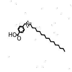 CCCCCCCCCCCCCCCC[N+](C)(C)Cc1ccc(C(=O)O)cc1